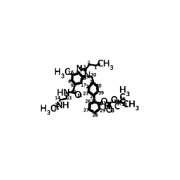 CCCc1nc2c(C)cc(C(=O)NCCNC)cc2n1Cc1ccc(-c2ccccc2OC(=O)OC(C)(C)C)cc1